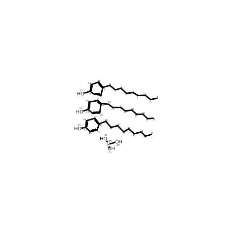 CCCCCCCCCc1ccc(O)cc1.CCCCCCCCCc1ccc(O)cc1.CCCCCCCCCc1ccc(O)cc1.OP(O)O